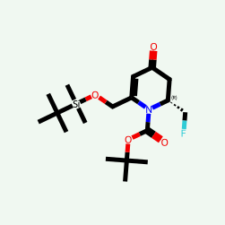 CC(C)(C)OC(=O)N1C(CO[Si](C)(C)C(C)(C)C)=CC(=O)C[C@@H]1CF